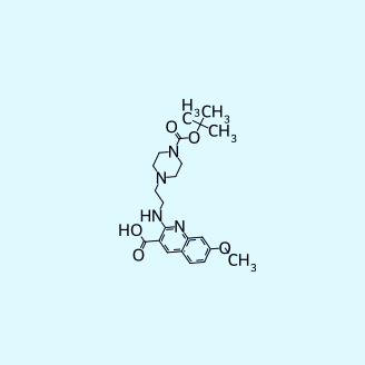 COc1ccc2cc(C(=O)O)c(NCCN3CCN(C(=O)OC(C)(C)C)CC3)nc2c1